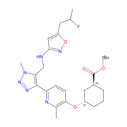 Cc1nc(-c2nnn(C)c2CNc2cc(CC(C)F)on2)ccc1O[C@H]1CCC[C@H](C(=O)OC(C)(C)C)C1